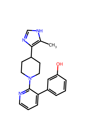 Cc1[nH]cnc1C1CCN(c2ncccc2-c2cccc(O)c2)CC1